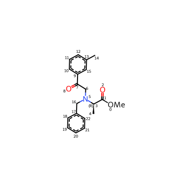 COC(=O)[C@@H](C)N(CC(=O)c1cccc(C)c1)Cc1ccccc1